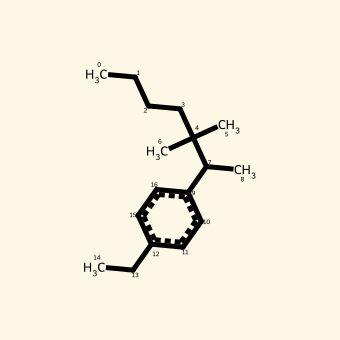 CCCCC(C)(C)C(C)c1ccc(CC)cc1